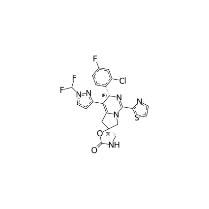 O=C1NC[C@@]2(CC3=C(c4ccn(C(F)F)n4)[C@H](c4ccc(F)cc4Cl)N=C(c4nccs4)N3C2)O1